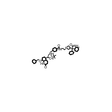 CC(C)(C)[Si](C)(C)O[C@H](CNCc1ccc(C(=O)NCCN2CC[C@@H](C(C(N)=O)(c3ccccc3)c3ccccc3)C2)cc1)c1ccc(OCc2ccccc2)c2[nH]c(=O)ccc12